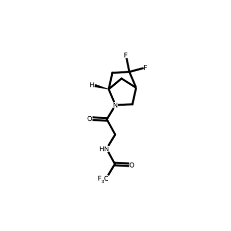 O=C(CNC(=O)C(F)(F)F)N1CC2C[C@H]1CC2(F)F